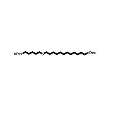 CCCCCCCCCCCCCCCCCCCCCCSCCCCCCCCCCCCCCC